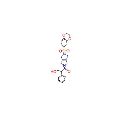 O=C(C(CO)c1ccccc1)N1CC2=C(C1)CN(S(=O)(=O)c1ccc3c(c1)OCCO3)C2